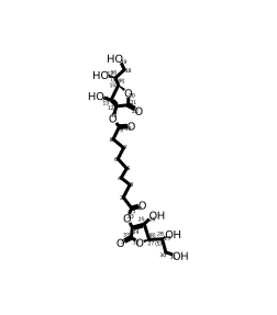 O=C(CCCCCCCC(=O)OC1=C(O)[C@@H]([C@@H](O)CO)OC1=O)OC1=C(O)[C@@H]([C@@H](O)CO)OC1=O